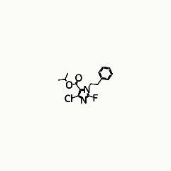 CC(C)OC(=O)c1c(Cl)nc(F)n1CCc1ccccc1